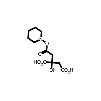 O=C(O)CC(O)(CC(=O)ON1CCCCC1)C(=O)O